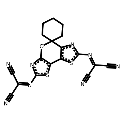 N#CC(C#N)=Nc1nc2c(s1)-c1sc(N=C(C#N)C#N)nc1C1(CCCCC1)O2